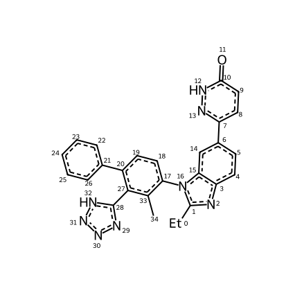 CCc1nc2ccc(-c3ccc(=O)[nH]n3)cc2n1-c1ccc(-c2ccccc2)c(-c2nnn[nH]2)c1C